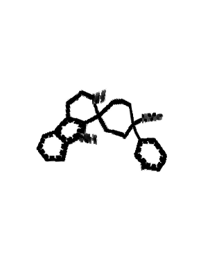 CNC1(c2ccccc2)CCC2(CC1)NCCc1c2[nH]c2ccccc12